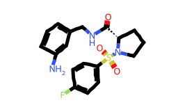 Nc1cccc(CNC(=O)[C@@H]2CCCN2S(=O)(=O)c2ccc(F)cc2)c1